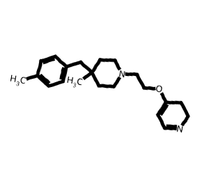 Cc1ccc(CC2(C)CCN(CCOC3=CC=NCC3)CC2)cc1